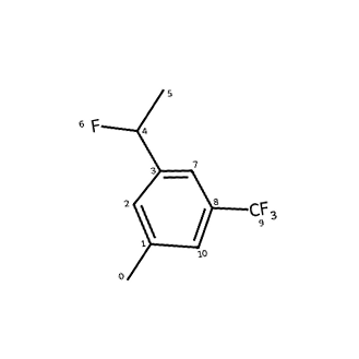 Cc1cc(C(C)F)cc(C(F)(F)F)c1